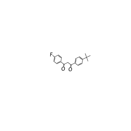 CC(C)(C)c1ccc(C(=O)CC(=O)c2ccc(F)cc2)cc1